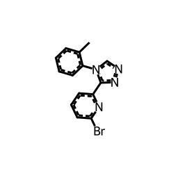 Cc1ccccc1-n1cnnc1-c1cccc(Br)n1